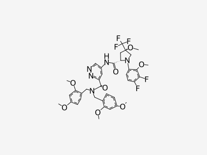 COc1ccc(CN(Cc2ccc(OC)cc2OC)C(=O)c2cc(NC(=O)[C@@H]3C[C@](OC)(C(F)(F)F)CN3c3ccc(F)c(F)c3OC)cnn2)c(OC)c1